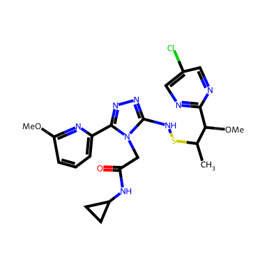 COc1cccc(-c2nnc(NSC(C)C(OC)c3ncc(Cl)cn3)n2CC(=O)NC2CC2)n1